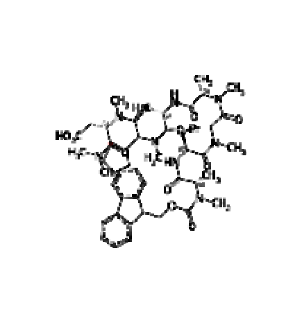 CC(C)C[C@H](NC(=O)[C@H](C)N(C)C(=O)OCC1c2ccccc2-c2ccccc21)C(=O)N(C)CC(=O)N(C)[C@@H](C)C(=O)N[C@@H](C)C(=O)N(C)C(C(=O)N(C)[C@@H](CC(=O)O)C(=O)N(C)C)C1CCCC1